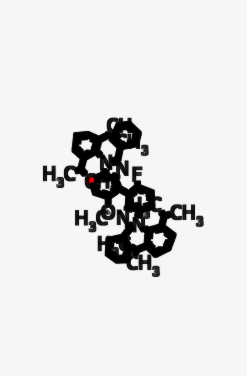 COc1ccc2c(nc(-c3ccccc3)n2-c2c(C(C)C)cccc2C(C)C)c1-c1c(F)ccc2c1nc(-c1ccccc1)n2-c1c(C(C)C)cccc1C(C)C